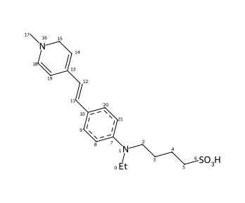 CCN(CCCCS(=O)(=O)O)c1ccc(C=CC2=CCN(C)C=C2)cc1